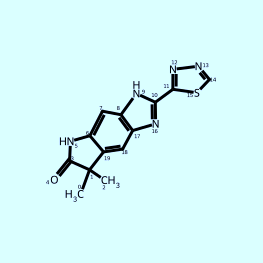 CC1(C)C(=O)Nc2cc3[nH]c(-c4nncs4)nc3cc21